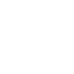 CC(C)=CCCC1(C)C=CCC1c1ccccc1O